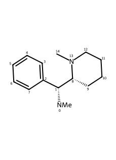 CN[C@H](c1ccccc1)[C@H]1CCCCN1C